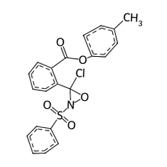 Cc1ccc(OC(=O)c2ccccc2C2(Cl)ON2S(=O)(=O)c2ccccc2)cc1